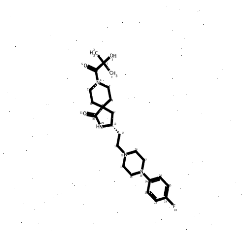 CC(C)(O)C(=O)N1CCC2(CC1)C[C@H](CCN1CCN(c3ccc(F)cc3)CC1)NC2=O